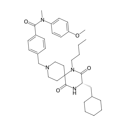 CCCCN1C(=O)[C@H](CC2CCCCC2)NC(=O)C12CCN(Cc1ccc(C(=O)N(C)c3ccc(OC)cc3)cc1)CC2